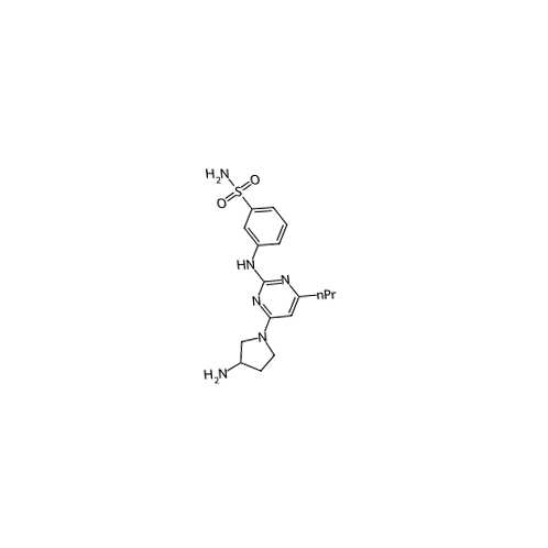 CCCc1cc(N2CCC(N)C2)nc(Nc2cccc(S(N)(=O)=O)c2)n1